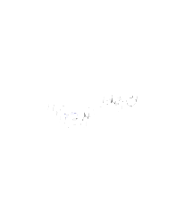 C=C(/C=C\C=C/C)C(=O)N1CCC(CCCCNC(=O)Nc2cccnc2)CC1